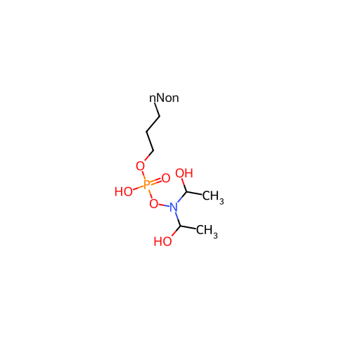 CCCCCCCCCCCCOP(=O)(O)ON(C(C)O)C(C)O